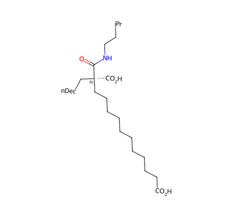 CCCCCCCCCCC[C@@](CCCCCCCCCCC(=O)O)(C(=O)O)C(=O)NCCC(C)C